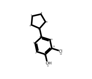 Oc1ccc(C2CCCC2)cc1Cl